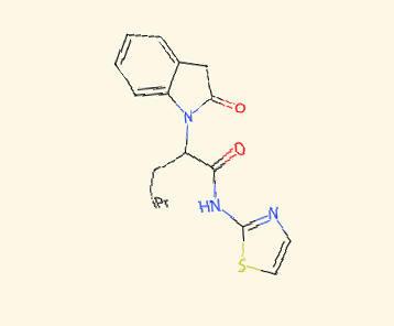 CC(C)CC(C(=O)Nc1nccs1)N1C(=O)Cc2ccccc21